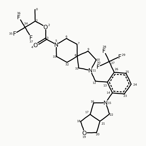 CC(OC(=O)N1CCC2(CCN(Cc3c(N4CC5COCC5C4)cccc3C(F)(F)F)C2)CC1)C(F)(F)F